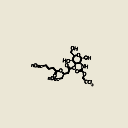 CCCCCCCCCCCCCC(=O)O[C@H](CCCCCCCCCCC)CC(=O)O[C@H]1[C@H](O)[C@@H](CO)O[C@H](O)[C@@H]1NC(=O)OCC(Cl)(Cl)Cl